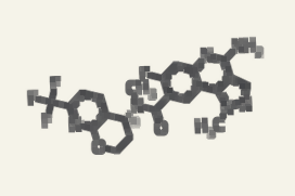 CN(C(=O)c1cc2c(cc1F)nc(N)c1cnn(C)c12)[C@@H]1CCOc2nc(C(F)(F)F)ccc21